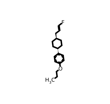 CCCOc1ccc([C@H]2CC[C@H](C/C=C/F)CC2)cc1